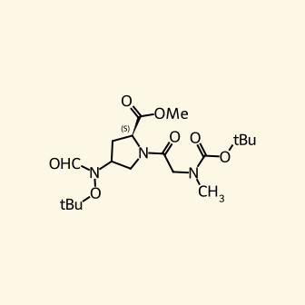 COC(=O)[C@@H]1CC(N(C=O)OC(C)(C)C)CN1C(=O)CN(C)C(=O)OC(C)(C)C